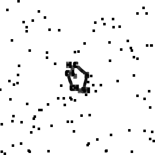 CC.CSS